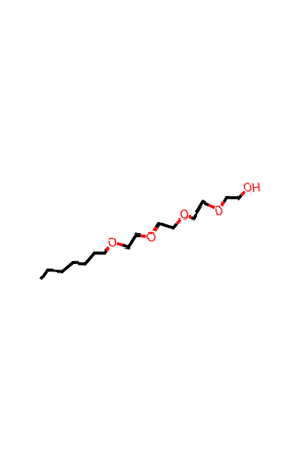 CCCCCCCOCCOCCOCCOCCO